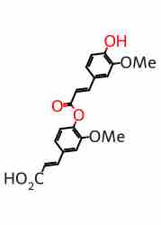 COc1cc(C=CC(=O)Oc2ccc(C=CC(=O)O)cc2OC)ccc1O